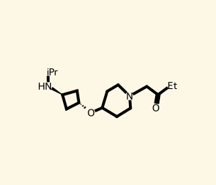 CCC(=O)CN1CCC(O[C@H]2C[C@H](NC(C)C)C2)CC1